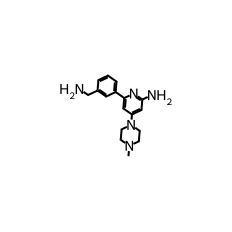 CN1CCN(c2cc(N)nc(-c3cccc(CN)c3)c2)CC1